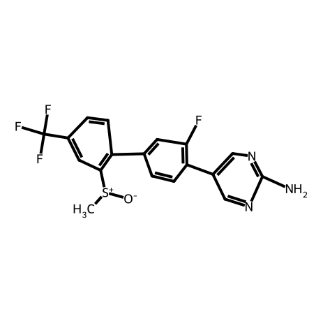 C[S+]([O-])c1cc(C(F)(F)F)ccc1-c1ccc(-c2cnc(N)nc2)c(F)c1